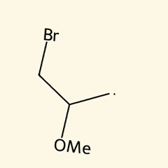 [CH2]C(CBr)OC